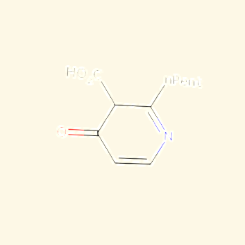 CCCCCC1=NC=CC(=O)C1C(=O)O